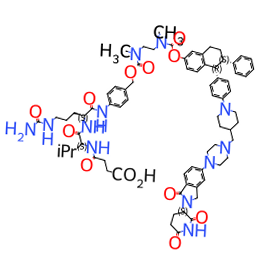 CC(C)[C@H](NC(=O)CCC(=O)O)C(=O)N[C@@H](CCCNC(N)=O)C(=O)Nc1ccc(COC(=O)N(C)CCN(C)C(=O)Oc2ccc3c(c2)CC[C@H](c2ccccc2)[C@@H]3c2ccc(N3CCC(CN4CCN(c5ccc6c(c5)CN([C@H]5CCC(=O)NC5=O)C6=O)CC4)CC3)cc2)cc1